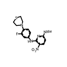 CNc1ccc([N+](=O)[O-])c(Nc2ccc(N3CCSCC3)c(F)c2)n1